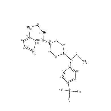 NCC(c1ccc(C(F)(F)F)cc1)N1CCN(C2=C3N=CC=C3NCN2)CC1